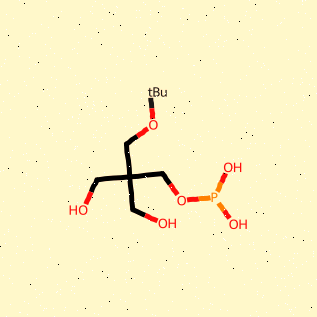 CC(C)(C)OCC(CO)(CO)COP(O)O